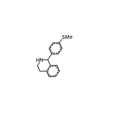 CSc1ccc(C2NCCc3ccccc32)cc1